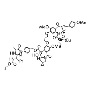 C=CCOC(=O)NC(C(=O)NC(C)C(=O)Nc1ccc(COC(=O)N2c3cc(OCCCOc4cc5c(cc4OC)C(=O)N4C=C(c6ccc(OC)cc6)C[C@H]4C(O[Si](C)(C)C(C)(C)C)N5C(=O)OCC=C)c(OC)cc3C(=O)N3CC4(CC4)C[C@H]3C2O)cc1)C(C)C